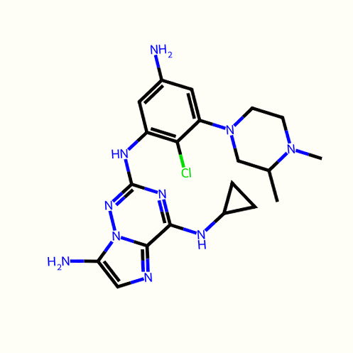 CC1CN(c2cc(N)cc(Nc3nc(NC4CC4)c4ncc(N)n4n3)c2Cl)CCN1C